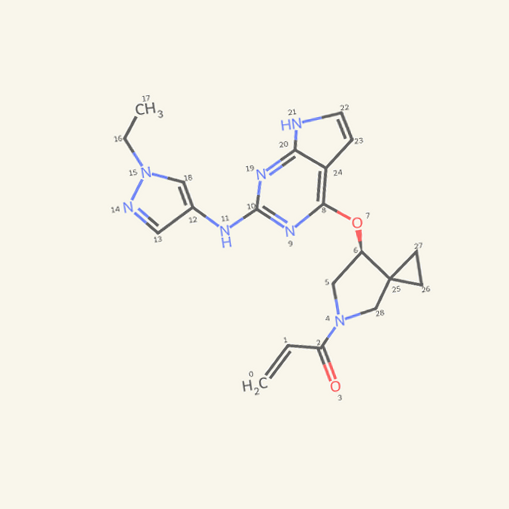 C=CC(=O)N1C[C@@H](Oc2nc(Nc3cnn(CC)c3)nc3[nH]ccc23)C2(CC2)C1